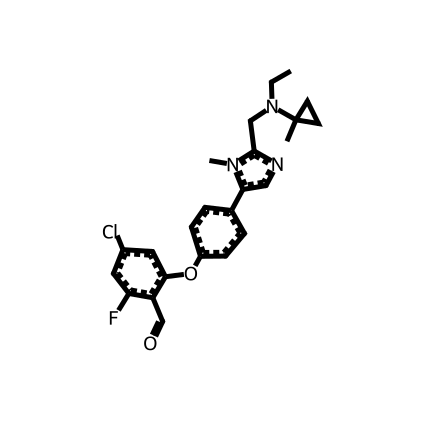 CCN(Cc1ncc(-c2ccc(Oc3cc(Cl)cc(F)c3C=O)cc2)n1C)C1(C)CC1